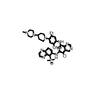 CCc1cc(Nc2nc(Nc3ccc4nccnc4c3P(C)(C)=O)c(Cl)c3cncnc23)c(OC)cc1N1CCC(N2CCN(C)CC2)CC1